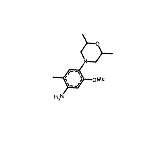 COc1cc(N)c(C)cc1N1CC(C)OC(C)C1